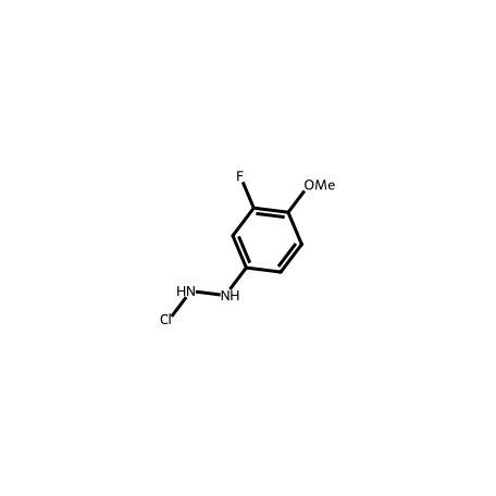 COc1ccc(NNCl)cc1F